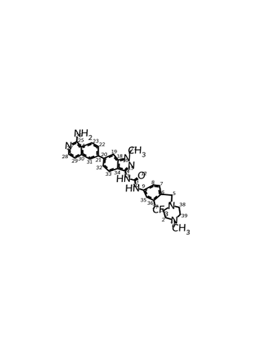 CN1CCN(Cc2ccc(NC(=O)Nc3nn(C)c4cc(-c5ccc6c(N)nccc6c5)ccc34)cc2C(F)(F)F)CC1